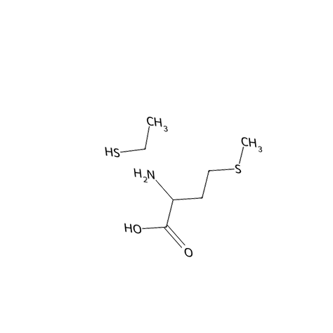 CCS.CSCCC(N)C(=O)O